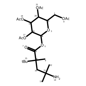 CC(=O)OCC1OC(OC(=O)C(C)(CC(C)(C)N)C(C)(C)C)C(OC(C)=O)C(OC(C)=O)C1OC(C)=O